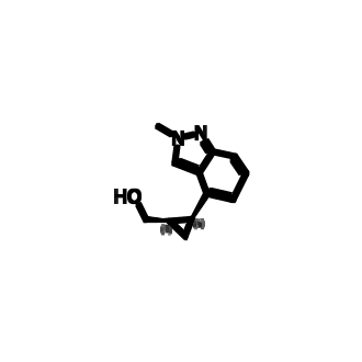 Cn1cc2c([C@H]3C[C@H]3CO)cccc2n1